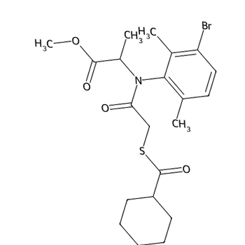 COC(=O)C(C)N(C(=O)CSC(=O)C1CCCCC1)c1c(C)ccc(Br)c1C